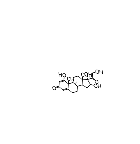 CC12C(O)=CC(=O)C=C1CCC1C2CCC2(C)C1CC(O)C2(O)C(=O)CO